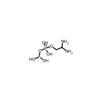 NC(N)CO[PH](O)(O)OP(O)O